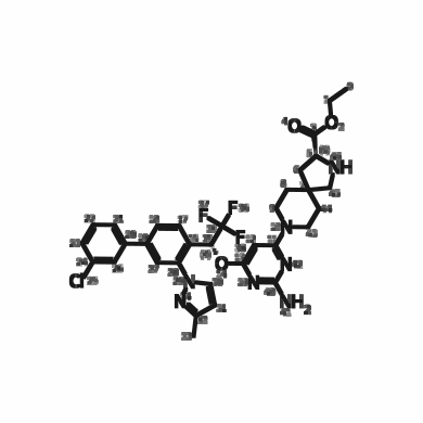 CCOC(=O)[C@@H]1CC2(CCN(c3cc(O[C@H](c4ccc(-c5cccc(Cl)c5)cc4-n4ccc(C)n4)C(F)(F)F)nc(N)n3)CC2)CN1